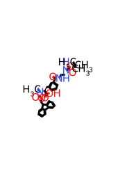 CN(C(=O)OCC1c2ccccc2-c2ccccc21)[C@@H](Cc1cccc(C(=O)NCCNC(=O)OC(C)(C)C)c1)C(=O)O